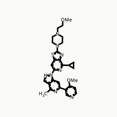 COCCN1CCN(c2nc3c(C4CC4)nc(-n4ncc5c(C)nc(-c6cnccc6OC)cc54)cc3s2)CC1